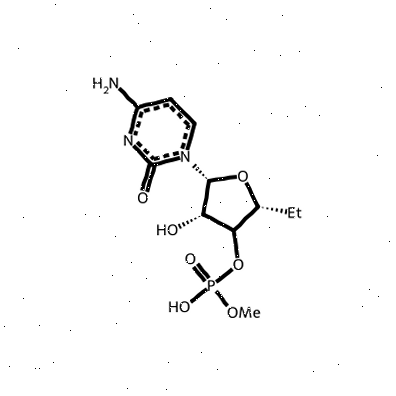 CC[C@H]1O[C@@H](n2ccc(N)nc2=O)[C@@H](O)C1OP(=O)(O)OC